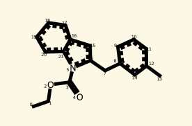 CCOC(=O)n1c(Cc2cccc(C)c2)cc2ccccc21